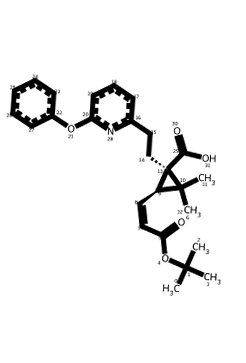 CC(C)(C)OC(=O)/C=C\[C@@H]1C(C)(C)[C@]1(CCc1cccc(Oc2ccccc2)n1)C(=O)O